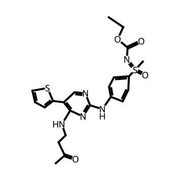 CCOC(=O)N=S(C)(=O)c1ccc(Nc2ncc(-c3cccs3)c(NCCC(C)=O)n2)cc1